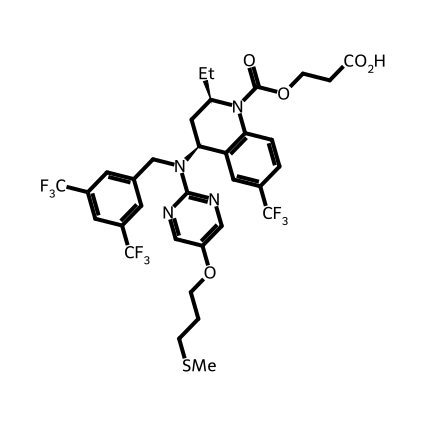 CC[C@@H]1C[C@H](N(Cc2cc(C(F)(F)F)cc(C(F)(F)F)c2)c2ncc(OCCCSC)cn2)c2cc(C(F)(F)F)ccc2N1C(=O)OCCC(=O)O